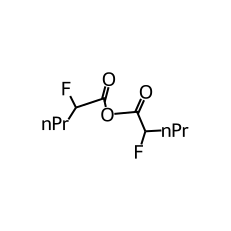 CCCC(F)C(=O)OC(=O)C(F)CCC